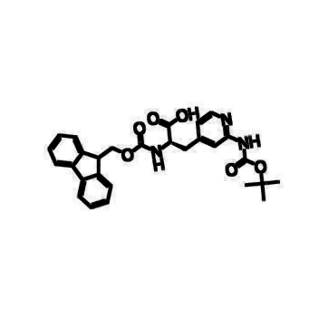 CC(C)(C)OC(=O)Nc1cc(C[C@@H](NC(=O)OCC2c3ccccc3-c3ccccc32)C(=O)O)ccn1